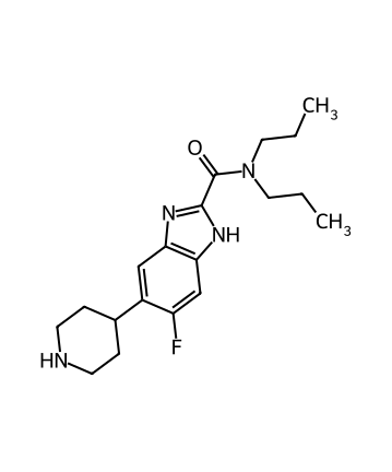 CCCN(CCC)C(=O)c1nc2cc(C3CCNCC3)c(F)cc2[nH]1